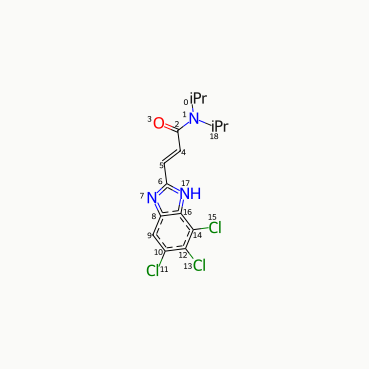 CC(C)N(C(=O)C=Cc1nc2cc(Cl)c(Cl)c(Cl)c2[nH]1)C(C)C